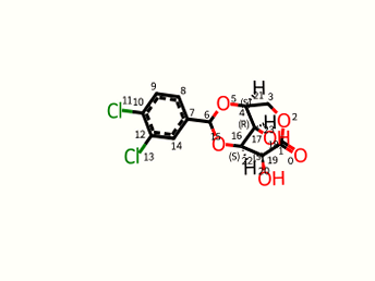 O=C1OC[C@@H]2OC(c3ccc(Cl)c(Cl)c3)O[C@@H]([C@@H]2O)[C@@H]1O